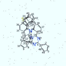 c1ccc(-c2nc(-c3ccccc3)nc(-c3cccc(-c4ccccc4)c3-n3c4ccccc4c4ccc5sc6ccccc6c5c43)n2)cc1